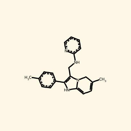 CC1=CC=C2NC(c3ccc(C)cc3)=C(CNc3ccccn3)N2C1